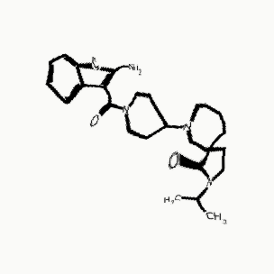 CC(C)N1CCC2(CCCN(C3CCN(C(=O)c4c(N)sc5ccccc45)CC3)C2)C1=O